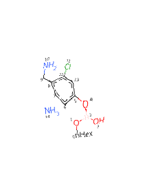 CCCCCCOB(O)Oc1ccc(CN)c(Cl)c1.N